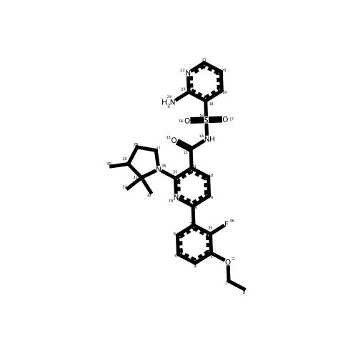 CCOc1cccc(-c2ccc(C(=O)NS(=O)(=O)c3cccnc3N)c(N3CCC(C)C3(C)C)n2)c1F